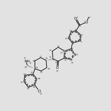 COC(=O)c1ccc(-c2nnc3n2CCN([C@H]2CC[C@](CN)(c4cccc(Cl)c4)CC2)C3=O)cc1